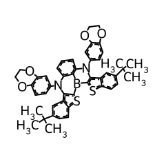 CC(C)(C)c1ccc2sc3c(c2c1)N(c1ccc2c(c1)OCCO2)c1cccc2c1B3c1sc3ccc(C(C)(C)C)cc3c1N2c1ccc2c(c1)OCCO2